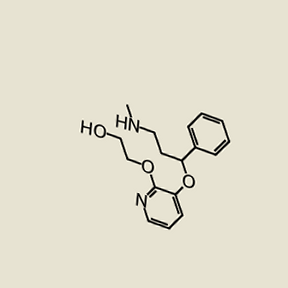 CNCCC(Oc1cccnc1OCCO)c1ccccc1